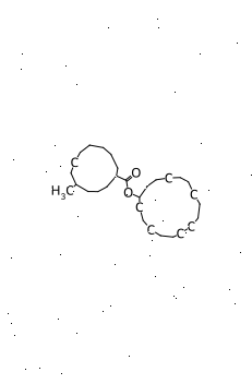 CC1CCCCCCCC(C(=O)OC2CCCCCCCCCCCCCCC2)CCC1